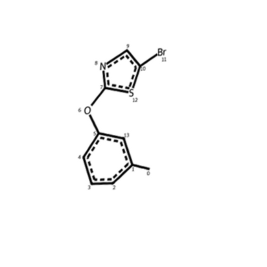 Cc1cccc(Oc2ncc(Br)s2)c1